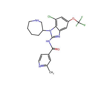 Cc1cc(C(=O)Nc2nc3cc(OC(F)(F)F)cc(Cl)c3n2C2CCCCNC2)ccn1